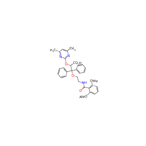 COc1cccc(OC)c1C(=O)NCCOC(c1ccccc1)(c1ccccc1)C(Oc1nc(C)cc(C)n1)C(=O)O